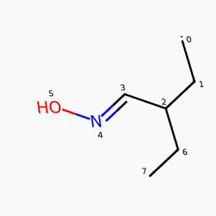 [CH2]CC(C=NO)CC